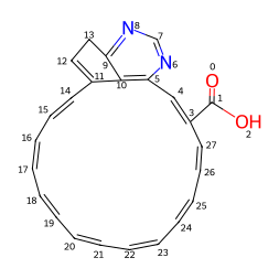 O=C(O)C1=Cc2ncnc3c2C(=CC3)C=CC=CC=CC=CC=CC=CC=C1